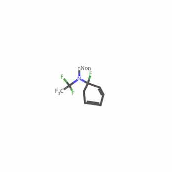 CCCCCCCCCN(C1(F)C=CC=CC1)C(F)(F)C(F)(F)F